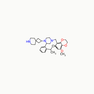 COc1ccc(CN2CCN(C3CC4(CCNCC4)C3)C(c3ccccc3C(C)C)C2)c2c1OCCO2